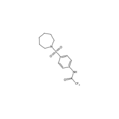 O=C(Nc1ccc(S(=O)(=O)N2CCCCCC2)cc1)C(F)(F)F